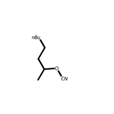 CCCCCCC(C)OC#N